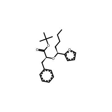 CCCC[C@H](O[C@@H](Cc1ccccc1)C(=O)OC(C)(C)C)c1ccco1